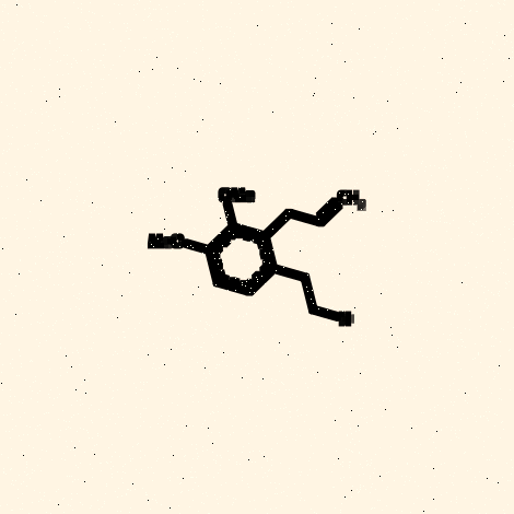 C=CCc1c(CC[N])ccc(OC)c1OC